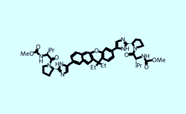 CCC1(CC)c2ccc(-c3cnc([C@@H]4CCCN4C(=O)[C@H](NC(=O)OC)C(C)C)[nH]3)cc2Oc2cc3ccc(-c4cnc([C@@H]5CCCN5C(=O)[C@@H](NC(=O)OC)C(C)C)[nH]4)cc3cc21